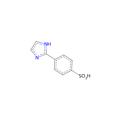 O=S(=O)(O)c1ccc(-c2ncc[nH]2)cc1